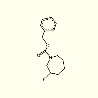 O=C(OCc1ccccc1)N1CCCCC(F)C1